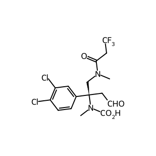 CN(C[C@](CC=O)(c1ccc(Cl)c(Cl)c1)N(C)C(=O)O)C(=O)CC(F)(F)F